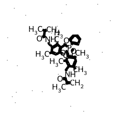 C=C(C)C(=O)NCc1c(C)cc(C)c(C(=O)P(=O)(C(=O)c2c(C)cc(C)c(CNC(=O)C(=C)C)c2C)c2ccccc2)c1C